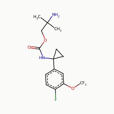 CC(C)(N)COC(=O)NC1(c2ccc(F)c(OC(F)(F)F)c2)CC1